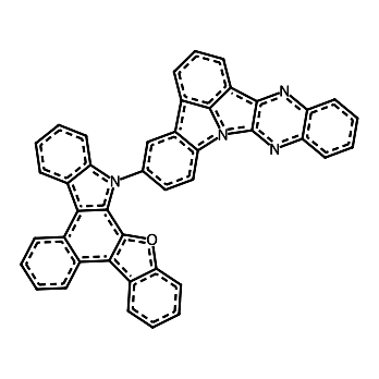 c1ccc2nc3c(nc2c1)c1cccc2c4cc(-n5c6ccccc6c6c7ccccc7c7c8ccccc8oc7c65)ccc4n3c21